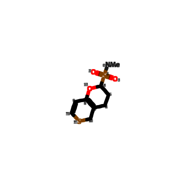 CNS(=O)(=O)C1CCC2=C(C=CSC2)O1